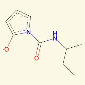 CCC(C)NC(=O)n1cccc1[O]